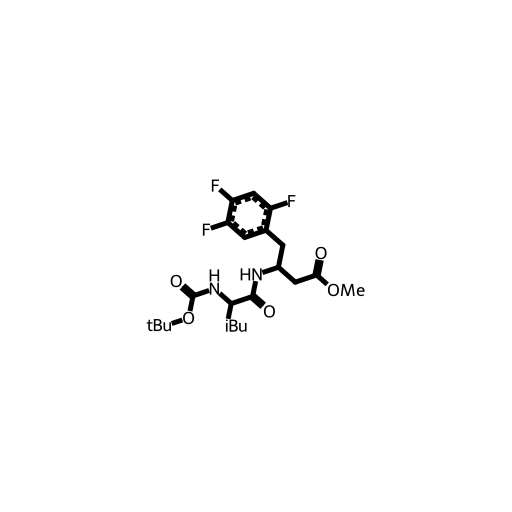 CCC(C)C(NC(=O)OC(C)(C)C)C(=O)NC(CC(=O)OC)Cc1cc(F)c(F)cc1F